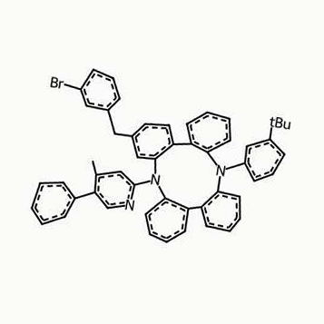 Cc1cc(N2c3ccccc3-c3ccccc3N(c3cccc(C(C)(C)C)c3)c3ccccc3-c3ccc(Cc4cccc(Br)c4)cc32)ncc1-c1ccccc1